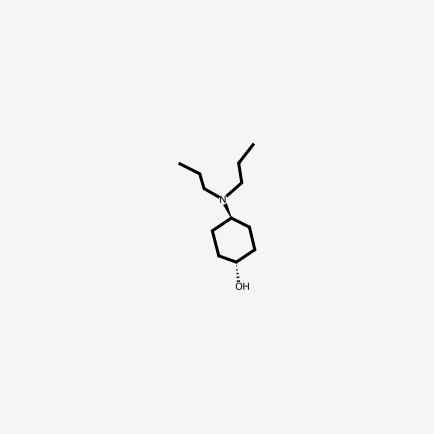 CCCN(CCC)[C@H]1CC[C@H](O)CC1